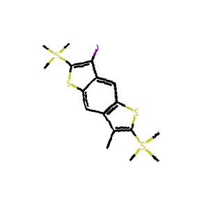 Cc1c(S(C)(C)C)sc2cc3c(I)c(S(C)(C)C)sc3cc12